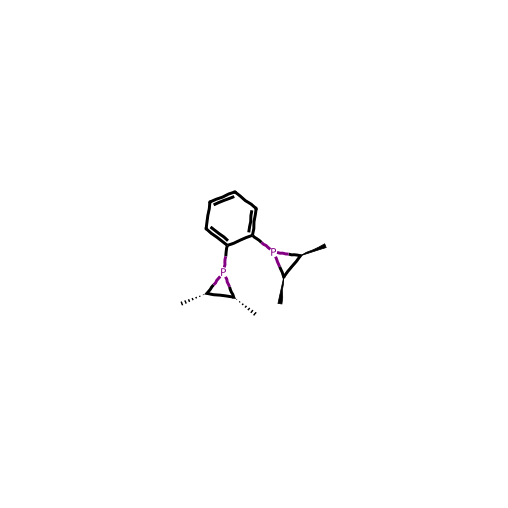 C[C@@H]1[C@H](C)P1c1ccccc1P1[C@H](C)[C@@H]1C